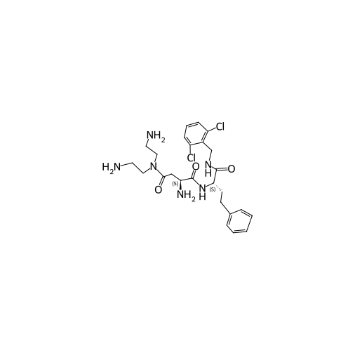 NCCN(CCN)C(=O)C[C@H](N)C(=O)N[C@@H](CCc1ccccc1)C(=O)NCc1c(Cl)cccc1Cl